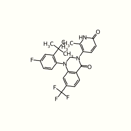 Cc1[nH]c(=O)ccc1N1CN(c2ccc(F)cc2C(C)(C)C)c2cc(C(F)(F)F)ccc2C1=O